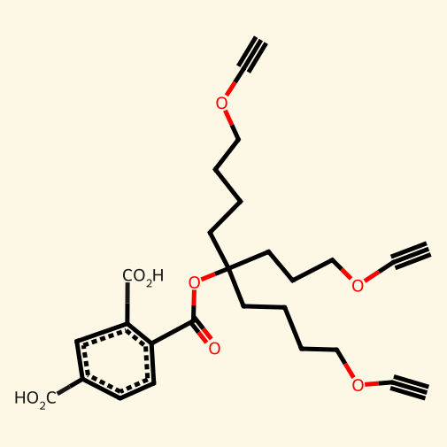 C#COCCCCC(CCCCOC#C)(CCCOC#C)OC(=O)c1ccc(C(=O)O)cc1C(=O)O